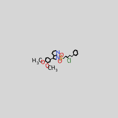 COc1ccc(-c2cn(S(=O)(=O)CC=C(Cl)CCc3ccccc3)c3ncccc23)cc1OC